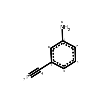 Nc1cccc(C#P)c1